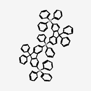 c1ccc(C2(c3ccccc3)c3ccc([Si](c4ccccc4)(c4ccccc4)c4ccccc4)cc3-c3cc([Si](c4ccccc4)(c4ccccc4)c4ccc5c(c4)-c4cc([Si](c6ccccc6)(c6ccccc6)c6ccccc6)ccc4C5(c4ccccc4)c4ccccc4)ccc32)cc1